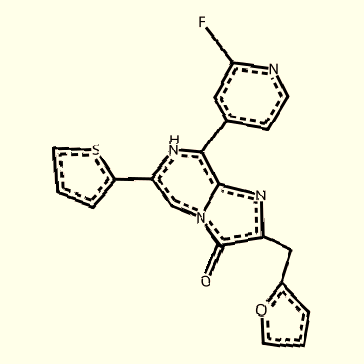 O=c1c(Cc2ccco2)nc2c(-c3ccnc(F)c3)[nH]c(-c3cccs3)cn1-2